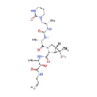 C=CCNC(=O)C(=O)C(CCCC)NC(=O)[C@@H]1C2[C@H](CN1C(=O)[C@@H](NC(=O)N[C@H](CN1CCCNC1=O)C(C)(C)C)C(C)(C)C)C2(C)C